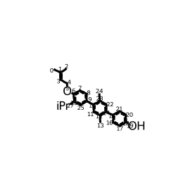 CC(C)=CCOc1ccc(-c2cc(C)c(-c3ccc(O)cc3)cc2C)cc1C(C)C